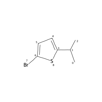 CC(C)c1ccc(Br)s1